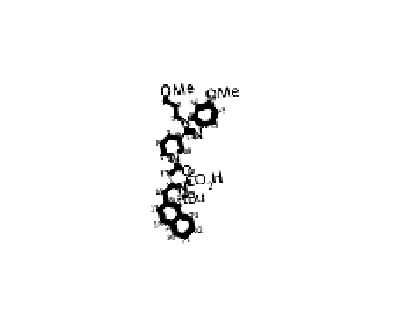 COCCCn1c([C@@H]2CCCN(C(=O)C[C@@H](Cc3ccc4ccccc4c3)N(C(=O)O)C(C)(C)C)C2)nc2ccc(OC)cc21